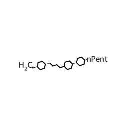 C=C[C@H]1CC[C@H](CCCCC2CCC([C@H]3CC[C@H](CCCCC)CC3)CC2)CC1